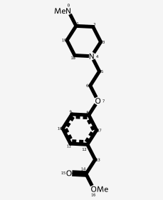 CNC1CCN(CCOc2cccc(CC(=O)OC)c2)CC1